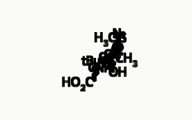 Cc1ncsc1-c1ccc(N(C)C(=O)[C@@H]2C[C@@H](O)CN2C(=O)[C@@H](NC(=O)CCCC(=O)O)C(C)(C)C)cc1